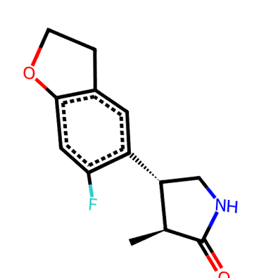 C[C@@H]1C(=O)NC[C@H]1c1cc2c(cc1F)OCC2